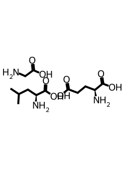 CC(C)C[C@H](N)C(=O)O.NCC(=O)O.N[C@@H](CCC(=O)O)C(=O)O